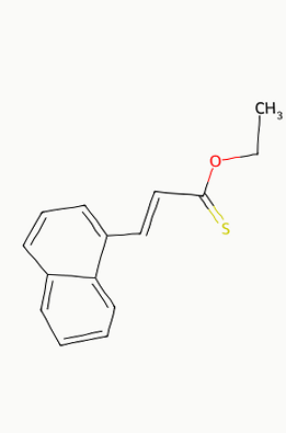 CCOC(=S)C=Cc1cccc2ccccc12